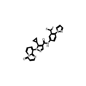 O=C(Nc1ccc(-n2cccn2)c(C(F)F)c1)c1cnn(-c2cccn3c(=O)ccnc23)c1C1CC1